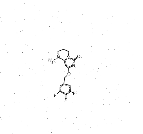 CN1CCCn2c1cc(OCc1cc(F)c(F)c(F)c1)nc2=O